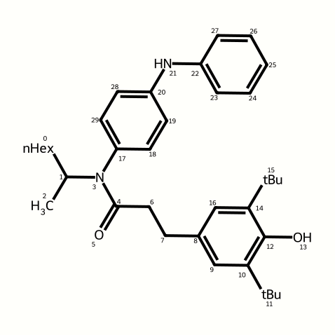 CCCCCCC(C)N(C(=O)CCc1cc(C(C)(C)C)c(O)c(C(C)(C)C)c1)c1ccc(Nc2ccccc2)cc1